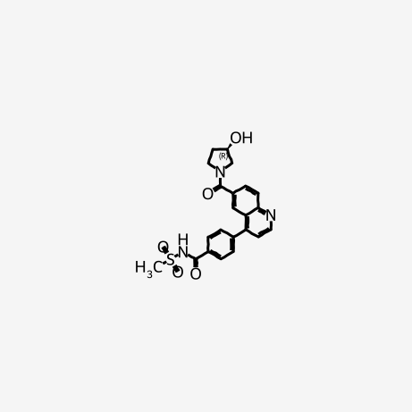 CS(=O)(=O)NC(=O)c1ccc(-c2ccnc3ccc(C(=O)N4CC[C@@H](O)C4)cc23)cc1